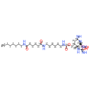 CC(C)CCCCCCNC(=O)CCCCC(=O)NCCCCCCNC(=O)OCC1CC(=N)N2CCC(O)(O)[C@@]23NC(=N)N[C@@H]13